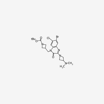 CN(C)C1CN(c2nc3cc(Br)c(Cl)cc3n(CC3CN(C(=O)OC(C)(C)C)C3)c2=O)C1